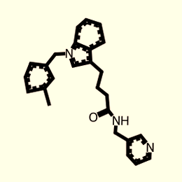 Cc1cccc(Cn2cc(CCCC(=O)NCc3cccnc3)c3ccccc32)c1